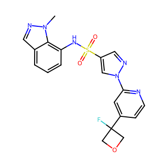 Cn1ncc2cccc(NS(=O)(=O)c3cnn(-c4cc(C5(F)COC5)ccn4)c3)c21